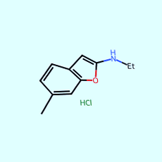 CCNc1cc2ccc(C)cc2o1.Cl